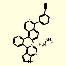 C#Cc1cccc(-c2nccc3c(-c4ncccc4-c4ncnc5[nH]ccc45)c(C)ccc23)c1.NN